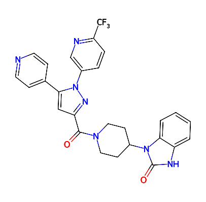 O=C(c1cc(-c2ccncc2)n(-c2ccc(C(F)(F)F)nc2)n1)N1CCC(n2c(=O)[nH]c3ccccc32)CC1